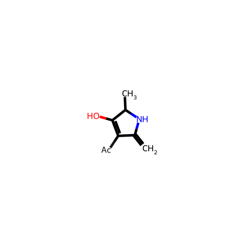 C=C1NC(C)C(O)=C1C(C)=O